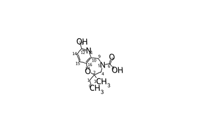 CCC1(C)CN(C(=O)O)Cc2nc(O)ccc2O1